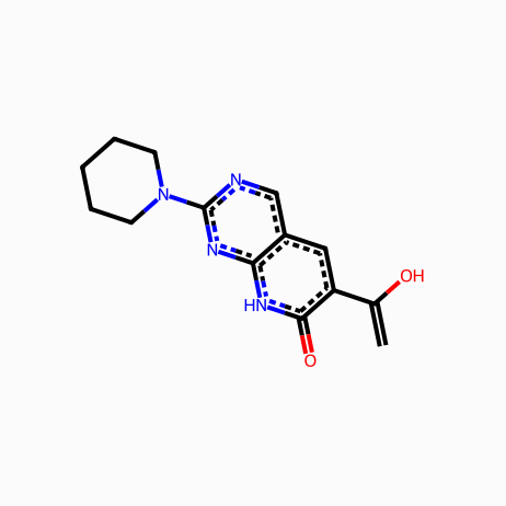 C=C(O)c1cc2cnc(N3CCCCC3)nc2[nH]c1=O